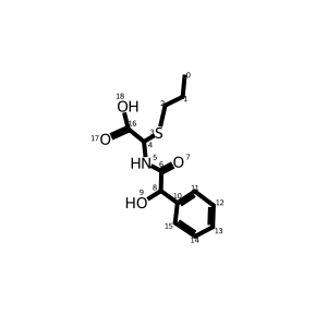 CCCSC(NC(=O)C(O)c1ccccc1)C(=O)O